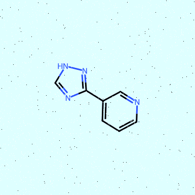 [c]1ccc(-c2nc[nH]n2)cn1